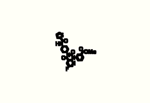 COC(=O)c1cccc(-n2c(=O)n([C@H]3CC[C@@H](NC(=O)c4cccs4)CC3)c(=O)c3cc(F)cnc32)c1